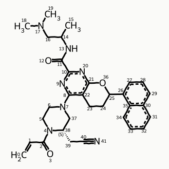 C=CC(=O)N1CCN(c2nc(C(=O)NC(C)CN(C)C)nc3c2CCC(c2cccc4ccccc24)O3)C[C@@H]1CC#N